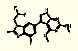 CNc1nc(OC)c2c(-c3cc(F)c4nc(C)n(CC(F)F)c4c3)c[nH]c2n1